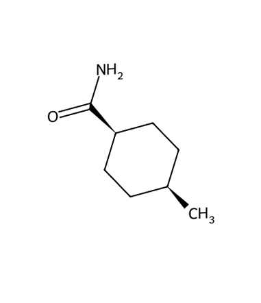 C[C@H]1CC[C@@H](C(N)=O)CC1